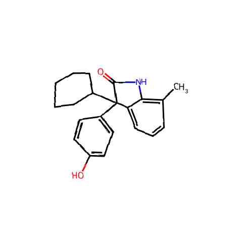 Cc1cccc2c1NC(=O)C2(c1ccc(O)cc1)C1CCCCC1